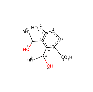 CCCC(O)c1c(C(=O)O)ccc(C(=O)O)c1C(O)CCC